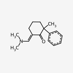 CN(C)/C=C1\CCCC(C)(c2ccccc2)C1=O